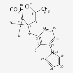 Cc1c(CC2(C=C(Cl)C(F)(F)F)C(C(=O)O)C2(C)C)cccc1-n1cccc1